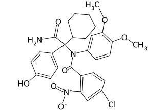 COc1ccc(N(C(=O)c2ccc(Cl)cc2[N+](=O)[O-])C(C(N)=O)(c2ccc(O)cc2)C2CCCCC2)cc1OC